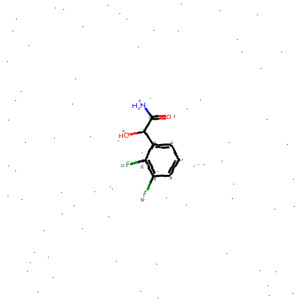 NC(=O)C(O)c1cccc(F)c1F